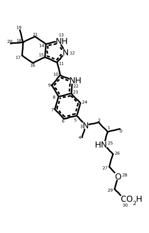 CC(CN(C)c1ccc2cc(-c3n[nH]c4c3CCC(C)(C)C4)[nH]c2c1)NCCOCC(=O)O